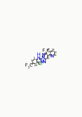 FC(F)(F)c1ccc(Nc2nnc3cc(-c4ncccc4C(F)(F)F)cnn23)c(Cl)c1